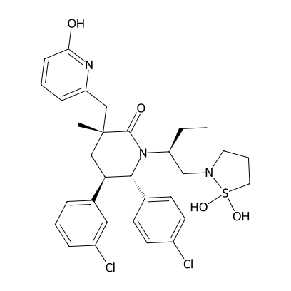 CC[C@@H](CN1CCCS1(O)O)N1C(=O)[C@@](C)(Cc2cccc(O)n2)C[C@H](c2cccc(Cl)c2)[C@H]1c1ccc(Cl)cc1